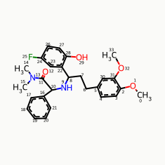 COc1ccc(CCC(NC(C(=O)N(C)C)c2ccccc2)c2cc(F)ccc2O)cc1OC